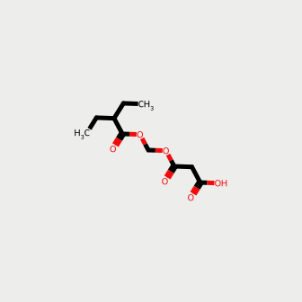 CCC(CC)C(=O)OCOC(=O)CC(=O)O